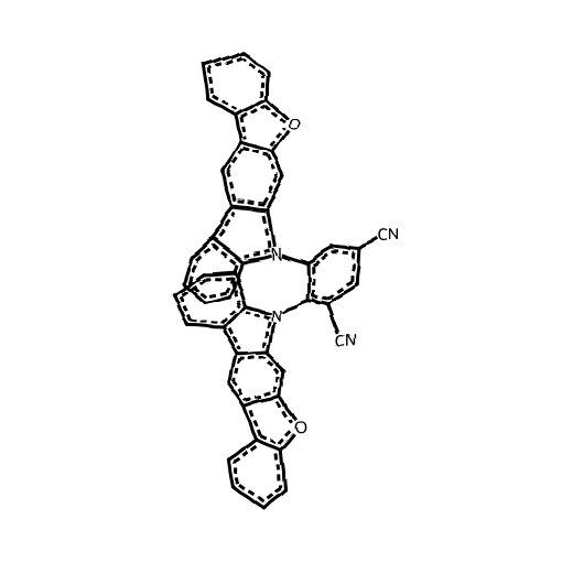 N#Cc1cc(C#N)c(-n2c3ccccc3c3cc4c(cc32)oc2ccccc24)c(-n2c3ccccc3c3cc4c(cc32)oc2ccccc24)c1